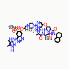 Cc1[nH]nc(Nc2ncnc3cc(OCCN4CCN(c5ncc(O[C@H]6C[C@@H](C(=O)N[C@@H]7CCCc8ccccc87)N(C(=O)C(NC(=O)C(C)N(C)C(=O)O)C(C)(C)C)C6)cn5)CC4)c(S(=O)(=O)C(C)(C)C)cc23)c1C